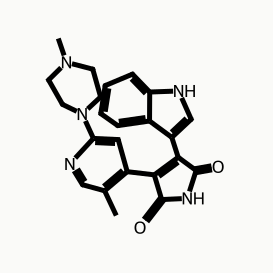 Cc1cnc(N2CCN(C)CC2)cc1C1=C(c2c[nH]c3ccccc23)C(=O)NC1=O